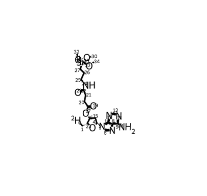 [2H]C[C@H]1O[C@@H](n2cnc3c(N)ncnc32)CC1OC(=O)CCC(=O)NCCC[Si](OC)(OC)OC